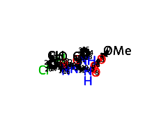 COCCOCCOC(=O)NCCC(NCc1ncc(C2=C(Cl)C(C)CC(Cl)=C2)o1)C(=O)Nc1ccccc1C(=O)O